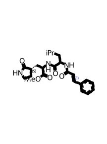 COC(=O)C(C[C@@H]1CCNC1=O)NC(=O)C(CC(C)C)NC(=O)/C=C/c1ccccc1